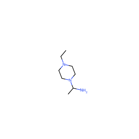 CCN1CCN(C(C)N)CC1